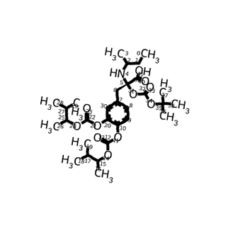 CCC(C)N[C@@](Cc1ccc(OC(=O)OC(C)C(C)C)c(OC(=O)OC(C)C(C)C)c1)(OC(=O)OC(C)(C)C)C(=O)O